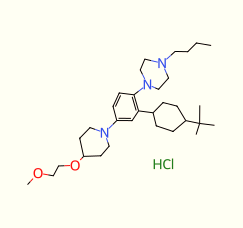 CCCCN1CCN(c2ccc(N3CCC(OCCOC)CC3)cc2C2CCC(C(C)(C)C)CC2)CC1.Cl